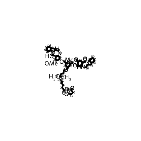 COc1cc2c(cc1OCc1cc(OCCCC(C)(C)SSCCCC(=O)ON3C(=O)CCC3=O)cc(COc3cc4c(cc3OC)C(=O)N3c5ccccc5CC3CN4)n1)N=C[C@@H]1Cc3ccccc3N1C2O